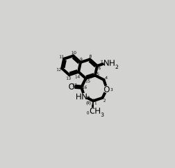 C[C@@H]1COCc2c(N)cc3ccccc3c2C(=O)N1